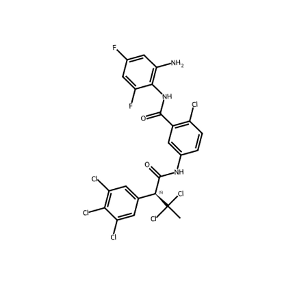 CC(Cl)(Cl)[C@H](C(=O)Nc1ccc(Cl)c(C(=O)Nc2c(N)cc(F)cc2F)c1)c1cc(Cl)c(Cl)c(Cl)c1